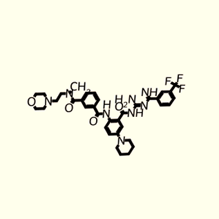 CN(CCN1CCOCC1)C(=O)c1cccc(C(=O)Nc2ccc(N3CCCCC3)cc2C(=O)N/C(N)=N/C(=N)c2cccc(C(F)(F)F)c2)c1